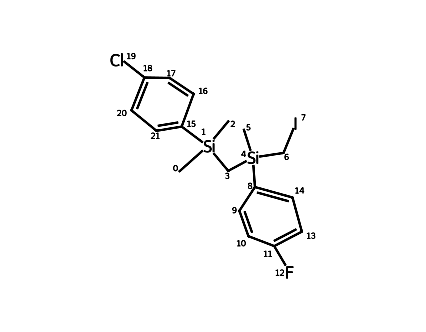 C[Si](C)(C[Si](C)(CI)c1ccc(F)cc1)c1ccc(Cl)cc1